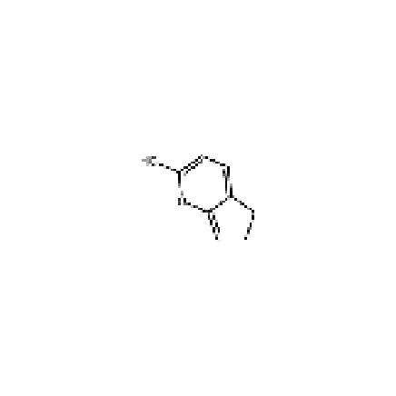 OC1=CC=C2CCC=C2O1